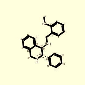 COc1ccccc1CN[C@@H]1c2ccccc2CN[C@H]1c1ccccc1